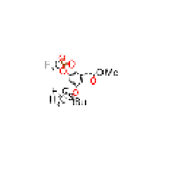 COC(=O)Cc1cc(O[Si](C)(C)C(C)(C)C)cc(OS(=O)(=O)C(F)(F)F)c1